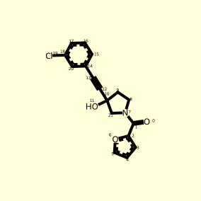 O=C(c1ccco1)N1CCC(O)(C#Cc2cccc(Cl)c2)C1